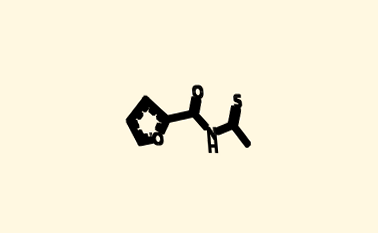 CC(=S)NC(=O)c1ccco1